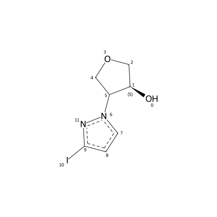 O[C@@H]1COCC1n1ccc(I)n1